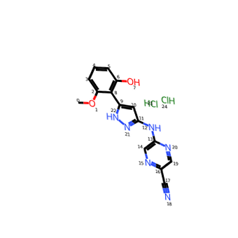 COc1cccc(O)c1-c1cc(Nc2cnc(C#N)cn2)n[nH]1.Cl.Cl